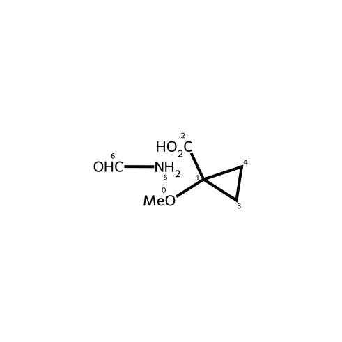 COC1(C(=O)O)CC1.NC=O